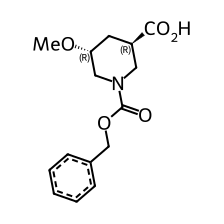 CO[C@@H]1C[C@@H](C(=O)O)CN(C(=O)OCc2ccccc2)C1